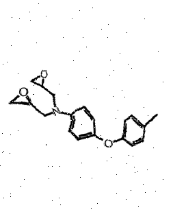 Cc1ccc(Oc2ccc(N(CC3CO3)CC3CO3)cc2)cc1